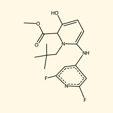 COC(=O)C1C(O)=CC=C(Nc2cc(F)nc(F)c2)N1CC(C)(C)C